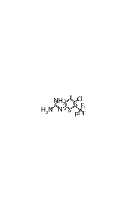 NC(N)=Nc1ccc(Cl)c(C(F)(F)F)c1